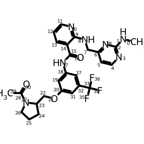 CNc1nccc(CNc2ncccc2C(=O)Nc2cc(OCC3CCCN3C(C)=O)cc(C(F)(F)F)c2)n1